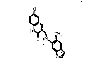 Cc1cc2ccoc2cc1NCc1cc2cc(Cl)ccc2[nH]c1=O